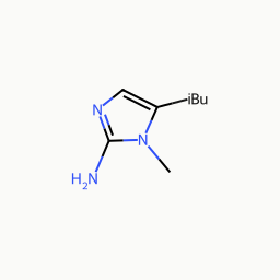 CCC(C)c1cnc(N)n1C